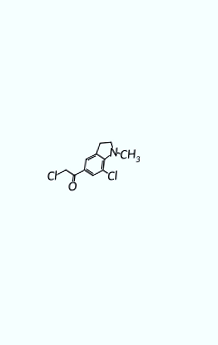 CN1CCc2cc(C(=O)CCl)cc(Cl)c21